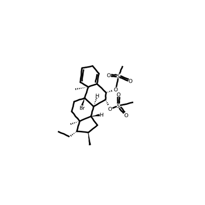 CC[C@H]1[C@H](C)C[C@H]2[C@@H]3[C@@H](OS(C)(=O)=O)[C@@H](OS(C)(=O)=O)C4=CCC=C[C@]4(C)[C@@]3(Br)CC[C@@]21C